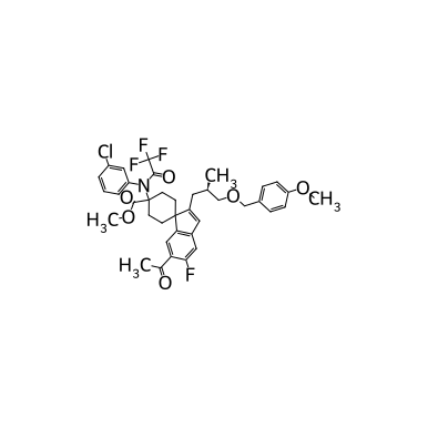 COC(=O)C1(N(C(=O)C(F)(F)F)c2cccc(Cl)c2)CCC2(CC1)C(C[C@@H](C)COCc1ccc(OC)cc1)=Cc1cc(F)c(C(C)=O)cc12